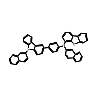 c1ccc2cc(N(c3ccc(-c4ccc5c(c4)c4ccccc4n5-c4ccc5ccccc5c4)cc3)c3cccc4c3oc3ccccc34)ccc2c1